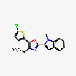 CCOC(=O)Cc1nc(-c2cc3ccccc3n2C)oc1-c1ccc(Cl)s1